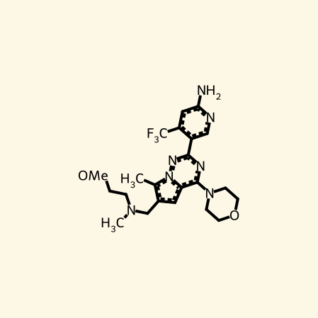 COCCN(C)Cc1cc2c(N3CCOCC3)nc(-c3cnc(N)cc3C(F)(F)F)nn2c1C